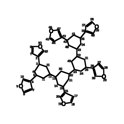 c1cc(C2CC(c3ccoc3)CC(C3CC(c4ccoc4)CC(C4CC(c5ccoc5)CC(C5CC(c6ccoc6)CC(c6ccoc6)C5)C4)C3)C2)co1